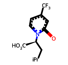 CC(C)C[C@@H](C(=O)O)n1ccc(C(F)(F)F)cc1=O